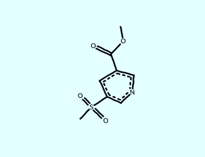 COC(=O)c1cncc(S(C)(=O)=O)c1